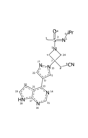 CC(C)N=S(C)(=O)N1CC(CC#N)(n2cc(-c3ncnc4[nH]ccc34)cn2)C1